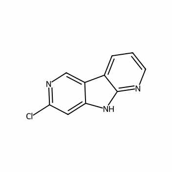 Clc1cc2[nH]c3ncccc3c2cn1